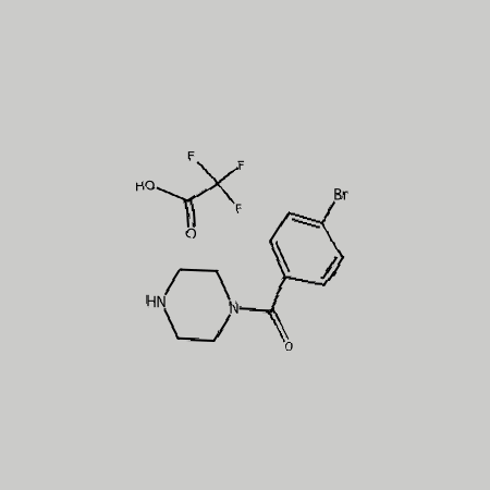 O=C(O)C(F)(F)F.O=C(c1ccc(Br)cc1)N1CCNCC1